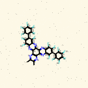 Cc1nc2c(nc1C)c1nc3c(F)c(-c4c(F)c(F)c(F)c(F)c4F)c(F)c(F)c3nc1c1nc3c(F)c(-c4c(F)c(F)c(F)c(F)c4F)c(F)c(F)c3nc21